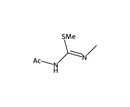 C/N=C(/NC(C)=O)SC